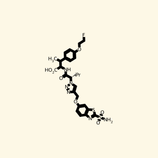 CC(c1ccc(OCCF)cc1)C(NC(=O)[C@H](C(C)C)n1cc(COc2ccc3nc(S(N)(=O)=O)sc3c2)nn1)C(=O)O